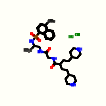 COc1ccc(S(=O)(=O)NC(CNC(=O)CNC(=O)C(CCC2CCNCC2)CCC2CCNCC2)C(=O)O)c2ccccc12.Cl.Cl